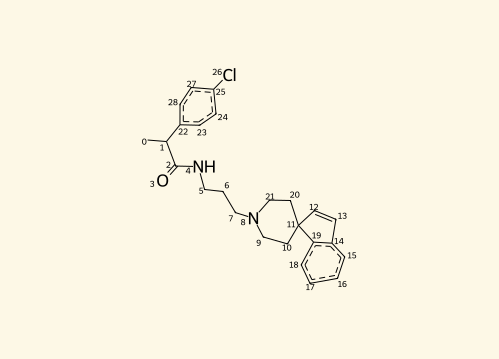 CC(C(=O)NCCCN1CCC2(C=Cc3ccccc32)CC1)c1ccc(Cl)cc1